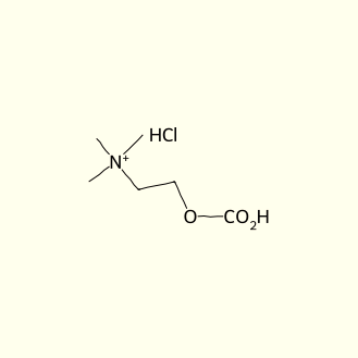 C[N+](C)(C)CCOC(=O)O.Cl